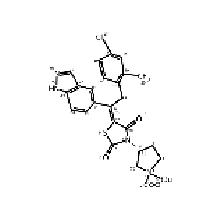 CC(C)(C)[N+]1(C(=O)[O-])CC[C@@H](N2C(=O)S/C(=C(/Cc3ccc(Cl)cc3C(F)(F)F)c3ccc4[nH]ncc4c3)C2=O)C1